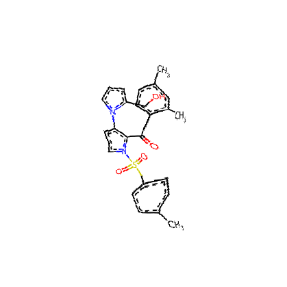 Cc1ccc(S(=O)(=O)n2ccc(-n3cccc3CO)c2C(=O)c2ccc(C)cc2C)cc1